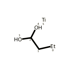 CCCC(O)O.[Ti]